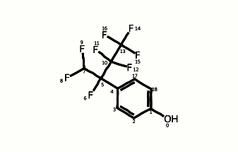 Oc1ccc(C(F)(C(F)F)C(F)(F)C(F)(F)F)cc1